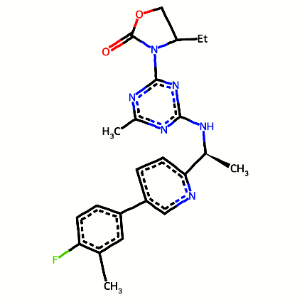 CCC1COC(=O)N1c1nc(C)nc(N[C@@H](C)c2ccc(-c3ccc(F)c(C)c3)cn2)n1